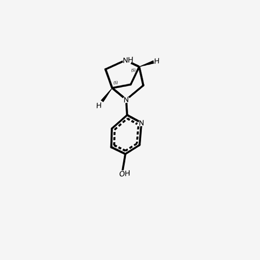 Oc1ccc(N2C[C@@H]3C[C@H]2CN3)nc1